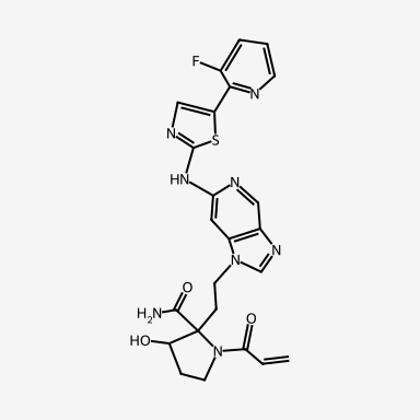 C=CC(=O)N1CCC(O)C1(CCn1cnc2cnc(Nc3ncc(-c4ncccc4F)s3)cc21)C(N)=O